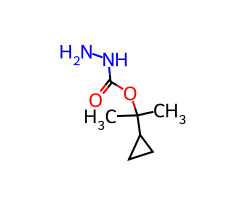 CC(C)(OC(=O)NN)C1CC1